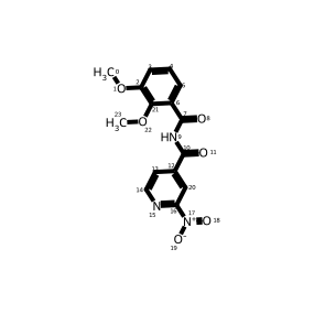 COc1cccc(C(=O)NC(=O)c2ccnc([N+](=O)[O-])c2)c1OC